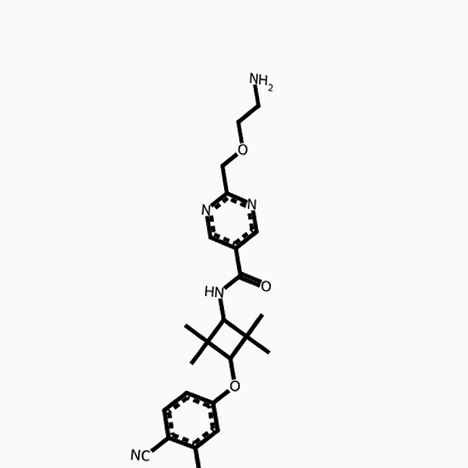 CC1(C)C(NC(=O)c2cnc(COCCN)nc2)C(C)(C)C1Oc1ccc(C#N)c(Cl)c1